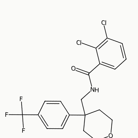 O=C(NCC1(c2ccc(C(F)(F)F)cc2)CCOCC1)c1cccc(Cl)c1Cl